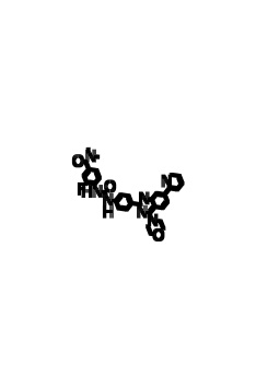 CN(C)C(=O)c1ccc(NC(=O)Nc2ccc(-c3nc(N4CCOCC4)c4ccc(-c5ccccn5)cc4n3)cc2)c(F)c1